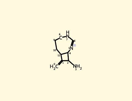 C=C1C(N)C2/N=C\NCCCC12